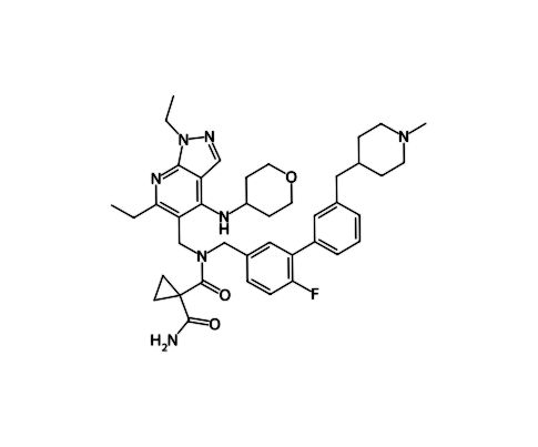 CCc1nc2c(cnn2CC)c(NC2CCOCC2)c1CN(Cc1ccc(F)c(-c2cccc(CC3CCN(C)CC3)c2)c1)C(=O)C1(C(N)=O)CC1